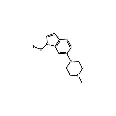 CN1CCN(c2ccc3ccn(SI)c3c2)CC1